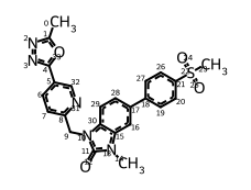 Cc1nnc(-c2ccc(Cn3c(=O)n(C)c4cc(-c5ccc(S(C)(=O)=O)cc5)ccc43)nc2)o1